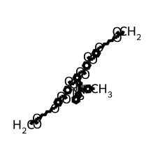 C=CC(=O)OCCCCCCOc1ccc(OC(=O)[C@H]2CC[C@H](C(=O)Oc3ccc(OC(=O)[C@H]4CC[C@H](C(=O)Oc5ccc(OCCCCCCOC(=O)C=C)cc5)CC4)c(/C=N/N(c4ccc(C)cc4)c4nc5ccccc5s4)c3)CC2)cc1